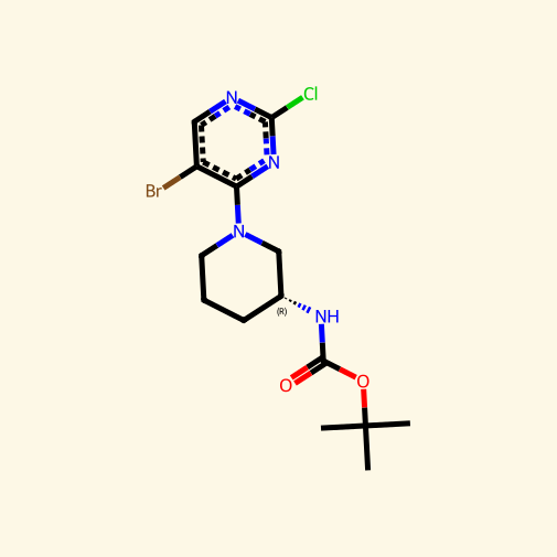 CC(C)(C)OC(=O)N[C@@H]1CCCN(c2nc(Cl)ncc2Br)C1